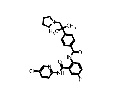 CC(C)(CN1CCCC1)c1ccc(C(=O)Nc2ccc(Cl)cc2C(=O)Nc2ccc(Cl)cn2)cc1